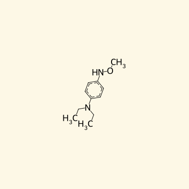 CCN(CC)c1ccc(NOC)cc1